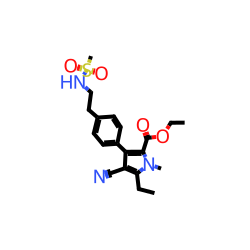 CCOC(=O)c1c(-c2ccc(CCNS(C)(=O)=O)cc2)c(C#N)c(CC)n1C